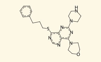 c1ccc(CCCSc2ncnc3c(N4CCOCC4)nc(N4CCNCC4)nc23)cc1